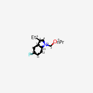 CCCOCn1cc(CC)c2cc(F)ccc21